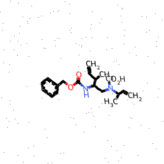 C=CC(C)C(CN(C(=O)O)C(C)C=C)NC(=O)OCc1ccccc1